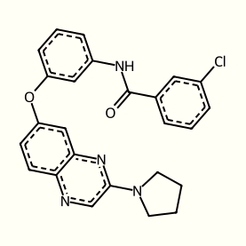 O=C(Nc1cccc(Oc2ccc3ncc(N4CCCC4)nc3c2)c1)c1cccc(Cl)c1